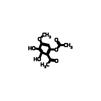 COc1cc(OC(C)=O)c(C(C)=O)c(O)c1O